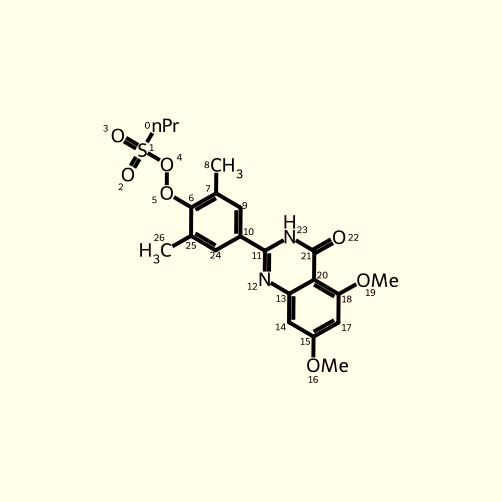 CCCS(=O)(=O)OOc1c(C)cc(-c2nc3cc(OC)cc(OC)c3c(=O)[nH]2)cc1C